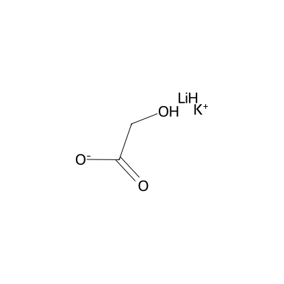 O=C([O-])CO.[K+].[LiH]